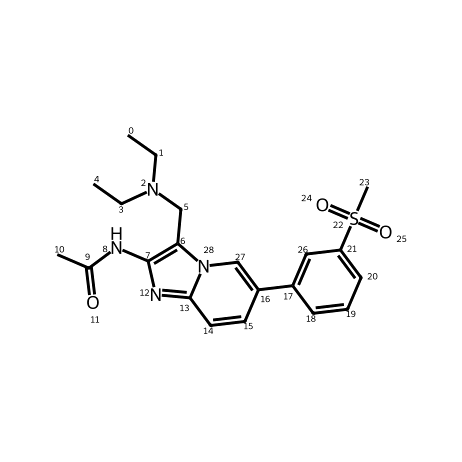 CCN(CC)Cc1c(NC(C)=O)nc2ccc(-c3cccc(S(C)(=O)=O)c3)cn12